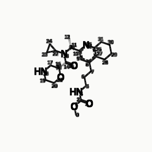 COC(=O)NCCCc1cc([C@@H](C)N(C(=O)[C@H]2CNCCO2)C2CC2)nc2c1CCCC2